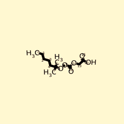 CCCCCC(C)(C)OOC(=O)OCC(=O)O